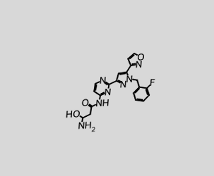 NC(O)CC(=O)Nc1ccnc(-c2cc(-c3ccon3)n(Cc3ccccc3F)n2)n1